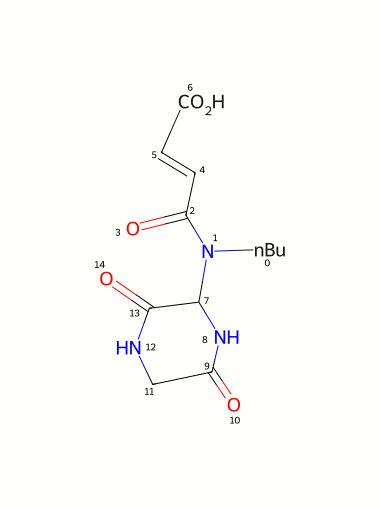 CCCCN(C(=O)/C=C/C(=O)O)C1NC(=O)CNC1=O